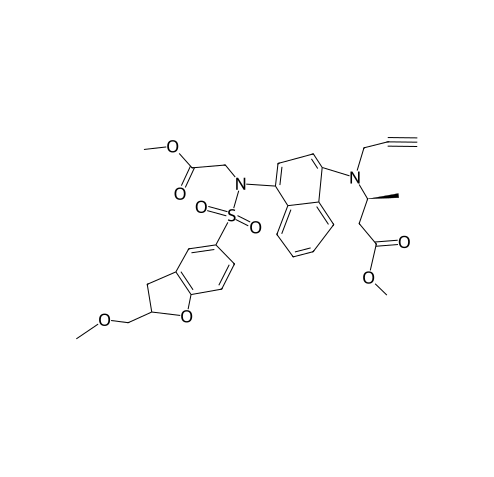 C#CCN(c1ccc(N(CC(=O)OC)S(=O)(=O)c2ccc3c(c2)CC(COC)O3)c2ccccc12)[C@@H](C)CC(=O)OC